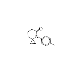 Cc1ccc(N2C(=O)CCCC23CC3)cc1